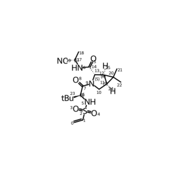 C=CS(=O)(=O)N[C@H](C(=O)N1C[C@H]2[C@@H]([C@H]1C(=O)N[C@@H](C)C#N)C2(C)C)C(C)(C)C